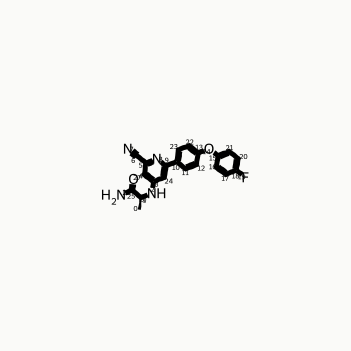 C[C@H](Nc1cc(C#N)nc(-c2ccc(Oc3ccc(F)cc3)cc2)c1)C(N)=O